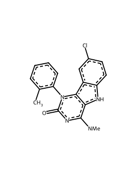 CNc1nc(=O)n(-c2ccccc2C)c2c1[nH]c1ccc(Cl)cc12